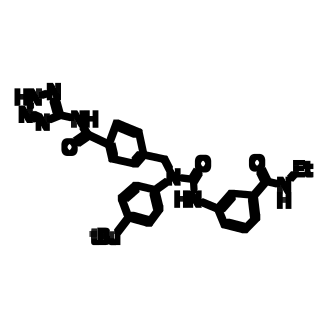 CCNC(=O)c1cccc(NC(=O)N(Cc2ccc(C(=O)Nc3nn[nH]n3)cc2)c2ccc(C(C)(C)C)cc2)c1